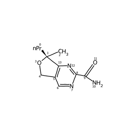 CCC[C@]1(C)OCc2cnc(C(N)=O)nc21